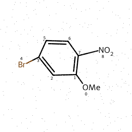 COc1cc(Br)[c]cc1[N+](=O)[O-]